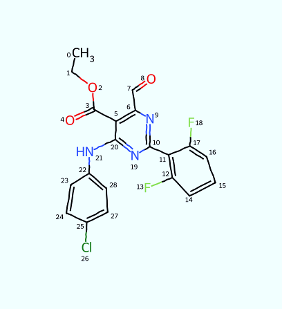 CCOC(=O)c1c(C=O)nc(-c2c(F)cccc2F)nc1Nc1ccc(Cl)cc1